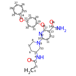 C=CC(=O)NC1CCCN(c2ccc(C(N)=O)c(Oc3ccc(Oc4ccccc4)cc3)n2)C1